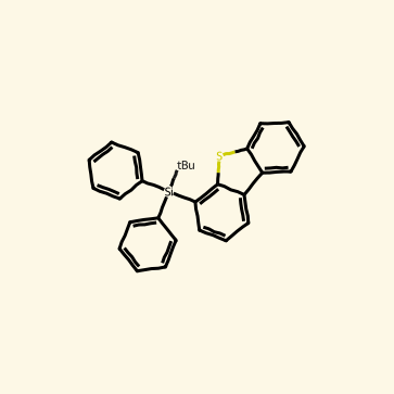 CC(C)(C)[Si](c1ccccc1)(c1ccccc1)c1cccc2c1sc1ccccc12